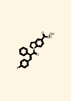 O=C(NO)c1ccc2c(c1)CCN2C(=O)/C(=C/c1ccc(F)cc1)c1ccccc1